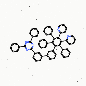 c1ccc(-c2nc(-c3ccccc3)nc(-c3cccc(-c4cccc(-c5c(-c6ccccc6)c(-c6ccccc6)c(-c6ccccn6)c(-c6ccccn6)c5-c5ccccc5)c4)c3)n2)cc1